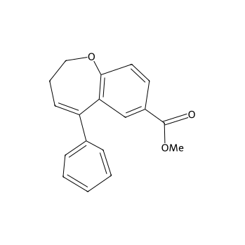 COC(=O)c1ccc2c(c1)C(c1ccccc1)=CCCO2